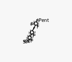 CCCCCc1cc(F)c(C#Cc2ccc(-c3ccc(N=C=S)c(F)c3)c(F)c2)c(F)c1